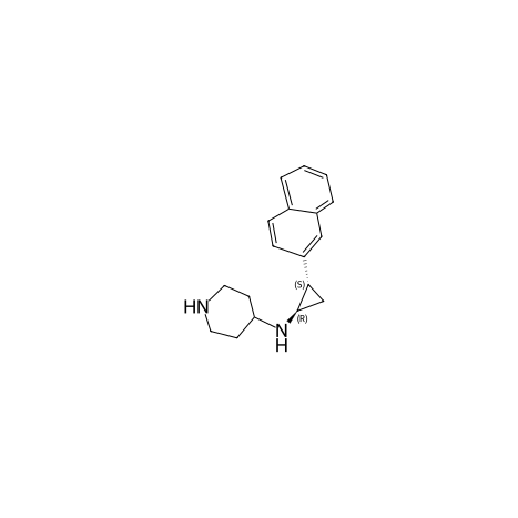 c1ccc2cc([C@@H]3C[C@H]3NC3CCNCC3)ccc2c1